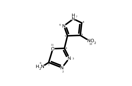 Nc1nnc(-c2n[nH]cc2[N+](=O)[O-])o1